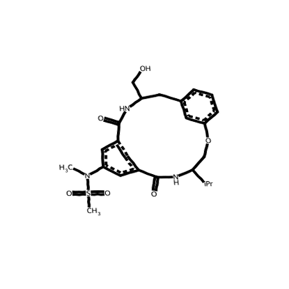 CC(C)C1COc2cccc(c2)CC(CO)NC(=O)c2cc(cc(N(C)S(C)(=O)=O)c2)C(=O)N1